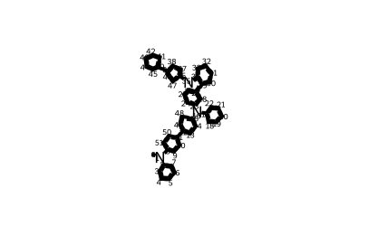 CN(c1ccccc1)c1ccc(-c2ccc(N(c3ccccc3)c3ccc4c(c3)c3ccccc3n4-c3ccc(-c4ccccc4)cc3)cc2)cc1